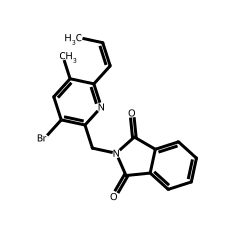 C/C=C\c1nc(CN2C(=O)c3ccccc3C2=O)c(Br)cc1C